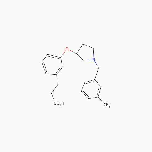 O=C(O)CCc1cccc(OC2CCN(Cc3cccc(C(F)(F)F)c3)C2)c1